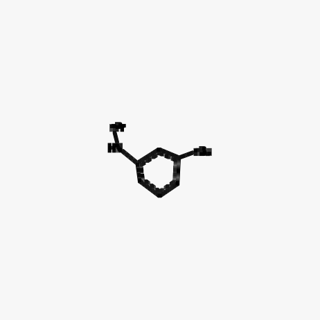 [CH2]CCCc1cccc(NCCC)c1